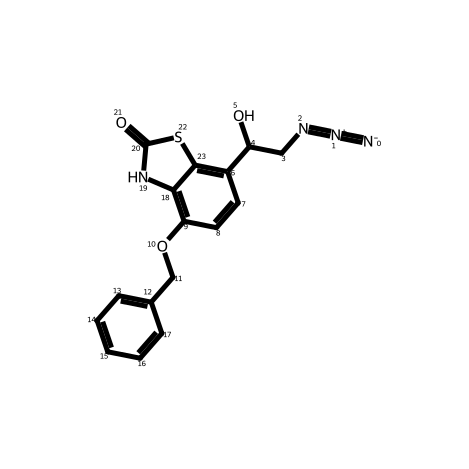 [N-]=[N+]=NCC(O)c1ccc(OCc2ccccc2)c2[nH]c(=O)sc12